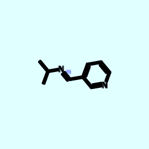 CC(C)/N=C/c1cccnc1